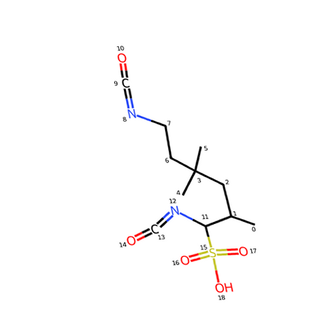 CC(CC(C)(C)CCN=C=O)C(N=C=O)S(=O)(=O)O